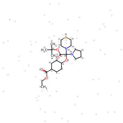 CCOC(=O)C1CCC(OC(C(=O)OC(C)(C)C)(N2CCCC2)N2CCSCC2)CC1